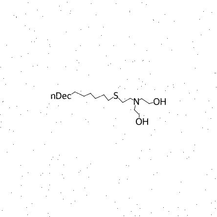 CCCCCCCCCCCCCCCCSCCN(CCO)CCO